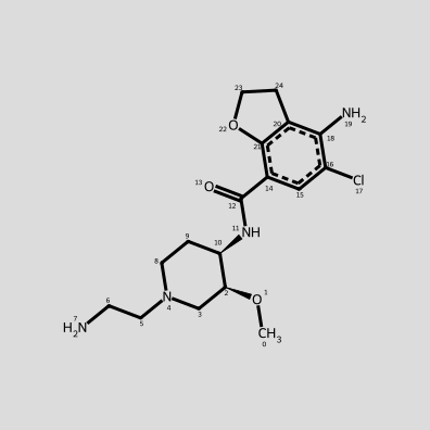 CO[C@H]1CN(CCN)CC[C@H]1NC(=O)c1cc(Cl)c(N)c2c1OCC2